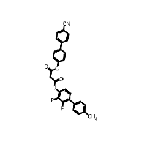 Cc1ccc(-c2ccc(OC(=O)CC(=O)Oc3ccc(-c4ccc(C#N)cc4)cc3)c(F)c2F)cc1